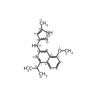 COc1cccc2c(C(C)C)nc(Nc3cc(C)[nH]n3)cc12